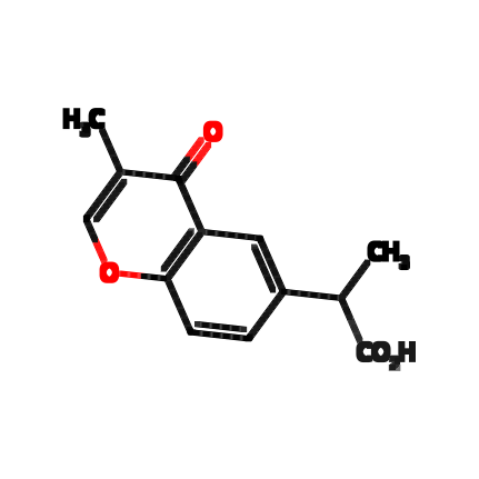 Cc1coc2ccc(C(C)C(=O)O)cc2c1=O